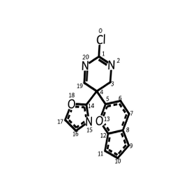 ClC1=NCC(c2ccc3cccc-3o2)(c2ncco2)C=N1